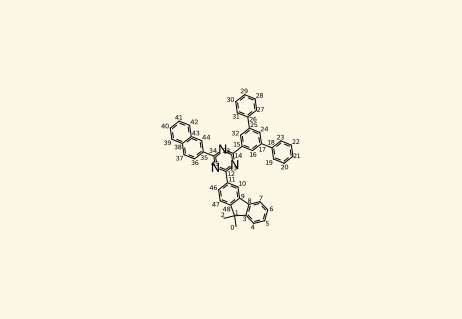 CC1(C)c2ccccc2-c2cc(-c3nc(-c4cc(-c5ccccc5)cc(-c5ccccc5)c4)nc(-c4ccc5ccccc5c4)n3)ccc21